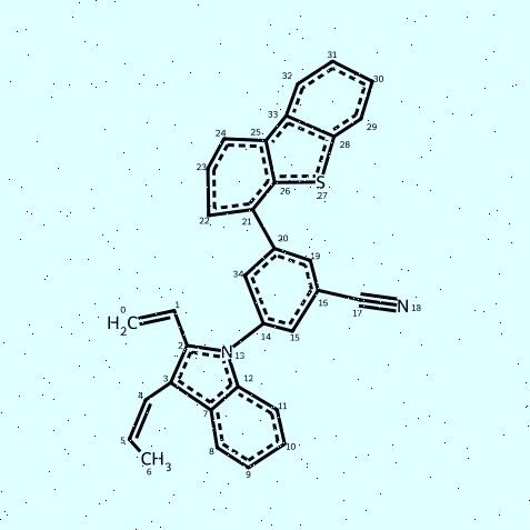 C=Cc1c(/C=C\C)c2ccccc2n1-c1cc(C#N)cc(-c2cccc3c2sc2ccccc23)c1